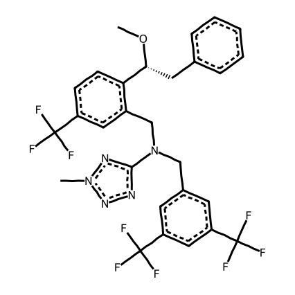 CO[C@H](Cc1ccccc1)c1ccc(C(F)(F)F)cc1CN(Cc1cc(C(F)(F)F)cc(C(F)(F)F)c1)c1nnn(C)n1